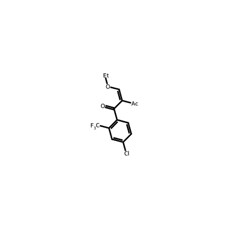 CCO/C=C(/C(C)=O)C(=O)c1ccc(Cl)cc1C(F)(F)F